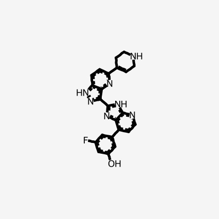 Oc1cc(F)cc(-c2ccnc3[nH]c(-c4n[nH]c5ccc(C6=CCNCC6)nc45)nc23)c1